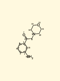 Bc1cccc(C(=O)CN2CCOCC2)c1